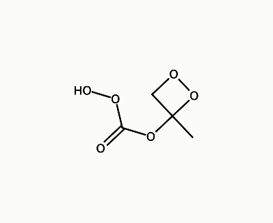 CC1(OC(=O)OO)COO1